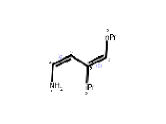 CCC/C=C(\C=C/N)C(C)C